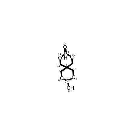 O=[PH]1OCC2(COP(O)OC2)CO1